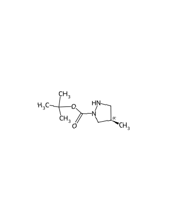 C[C@@H]1CNN(C(=O)OC(C)(C)C)C1